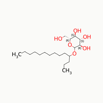 CCCCCCCCCCC(CCC)OC1O[C@H](CO)[C@@H](O)[C@H](O)[C@H]1O